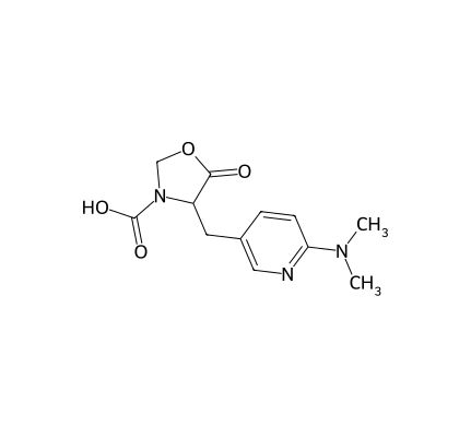 CN(C)c1ccc(CC2C(=O)OCN2C(=O)O)cn1